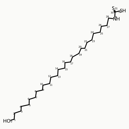 OCCCCCCCCCCCCCCCCCCCCCCCCCCCCNC(=S)S